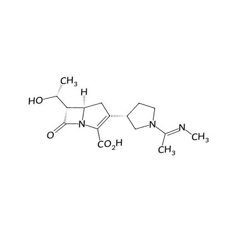 C/N=C(\C)N1CC[C@@H](C2=C(C(=O)O)N3C(=O)[C@H]([C@@H](C)O)[C@H]3C2)C1